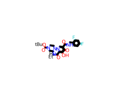 CCN1C(=O)c2c(O)c(=O)c(C(=O)NCc3ccc(F)cc3F)cn2N2CCN(C(=O)OC(C)(C)C)C[C@@H]12